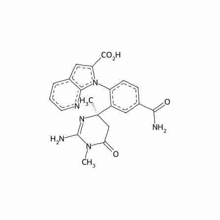 CN1C(=O)C[C@](C)(c2cc(C(N)=O)ccc2-n2c(C(=O)O)cc3cccnc32)N=C1N